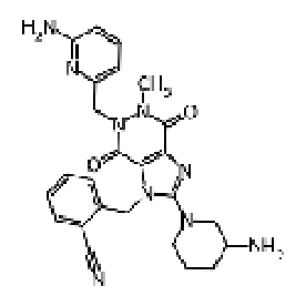 Cn1c(=O)c2nc(N3CCCC(N)C3)n(Cc3ccccc3C#N)c2c(=O)n1Cc1cccc(N)n1